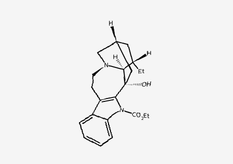 CCOC(=O)n1c2c(c3ccccc31)CC[N@@]1C[C@@H]3C[C@H](CC)[C@H]1[C@@]2(O)C3